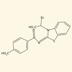 CCC(C(=O)O)n1/c(=N\C(=O)c2ccc(C(=O)O)cc2)sc2ccccc21